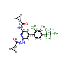 O=C(Nc1cc(-c2ccc(C(F)(F)C(F)(F)F)c(F)c2Cl)cc(NC(=O)C2CC2)n1)C1CC1